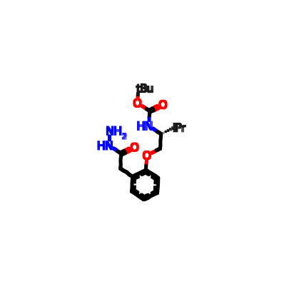 CC(C)[C@H](COc1ccccc1CC(=O)NN)NC(=O)OC(C)(C)C